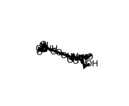 CCC(CC)(NC(=O)c1ccc(N2CC(OC)C2)c(OC[C@H]2C[C@@H]2CO)n1)C(=O)NCCOCCOCCOCCNc1ccc([N+](=O)[O-])c2nonc12